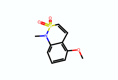 COc1cccc2c1C=CS(=O)(=O)N2C